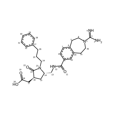 N=C(N)N1CCc2ccc(C(=O)NC[C@@H]3C[C@@H](CC(=O)O)C(=O)N3CCCc3ccccc3)cc2CC1